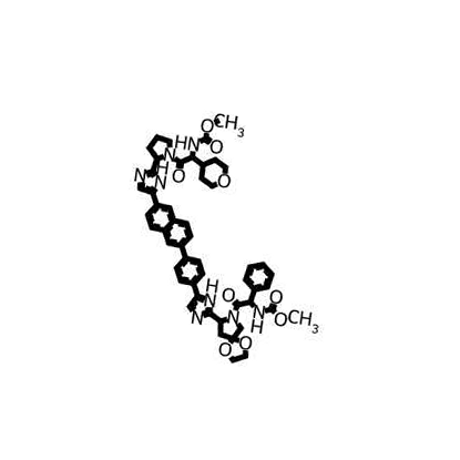 COC(=O)NC(C(=O)N1CC2(CC1c1ncc(-c3ccc(-c4ccc5cc(-c6cnc(C7CCCN7C(=O)C(NC(=O)OC)C7CCOCC7)[nH]6)ccc5c4)cc3)[nH]1)OCCO2)c1ccccc1